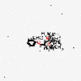 CC(COc1ccccc1C=O)C[Si](C)(O[Si](C)(C)C)O[Si](C)(C)C